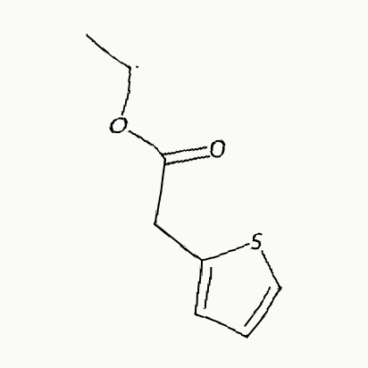 C[CH]OC(=O)Cc1cccs1